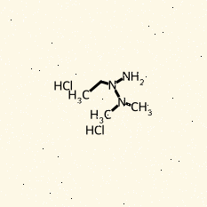 CCN(N)N(C)C.Cl.Cl